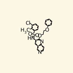 Cc1c(Cl)cccc1S(=O)(=O)Nc1cc2cnccc2nc1OCCOc1ccccc1